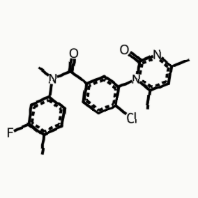 Cc1cc(C)n(-c2cc(C(=O)N(C)c3ccc(C)c(F)c3)ccc2Cl)c(=O)n1